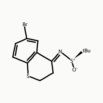 CC(C)(C)[S@@+]([O-])/N=C1\CCSc2ccc(Br)cc21